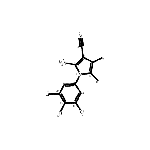 Cc1c(C#N)c(N)n(-c2cc(Cl)c(Cl)c(Cl)c2)c1C